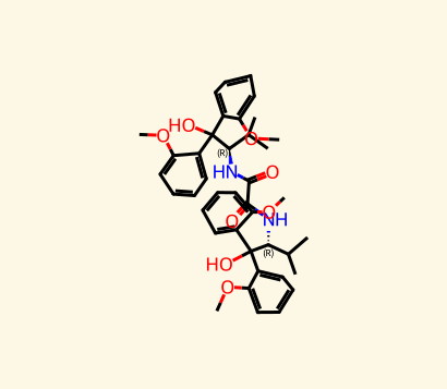 COc1ccccc1C(O)(c1ccccc1OC)[C@H](NC(=O)C(=O)N[C@H](C(C)C)C(O)(c1ccccc1OC)c1ccccc1OC)C(C)C